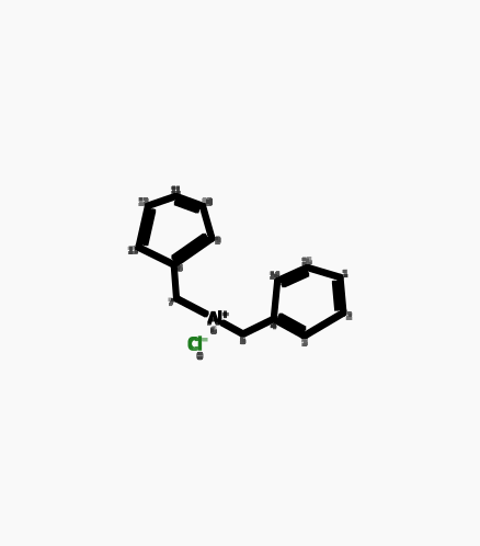 [Cl-].c1ccc([CH2][Al+][CH2]c2ccccc2)cc1